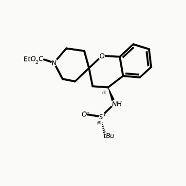 CCOC(=O)N1CCC2(CC1)C[C@H](N[S@@+]([O-])C(C)(C)C)c1ccccc1O2